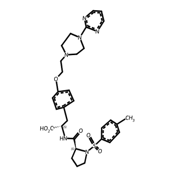 Cc1ccc(S(=O)(=O)N2CCC[C@H]2C(=O)N[C@@H](Cc2ccc(OCCN3CCN(c4ncccn4)CC3)cc2)C(=O)O)cc1